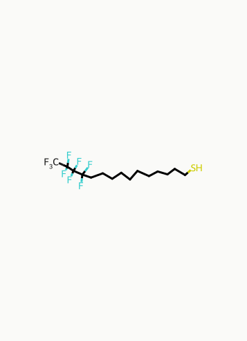 FC(F)(F)C(F)(F)C(F)(F)C(F)(F)CCCCCCCCCCCS